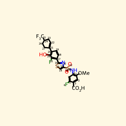 COc1cc(C(=O)O)c(F)cc1NS(=O)(=O)c1csc(-c2ccc(C3=CCC(C(F)(F)F)CC3)c(O)c2F)n1